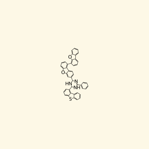 c1ccc(C2=NC(c3ccc4c(c3)oc3cccc(-c5cccc6c5oc5ccccc56)c34)NC(c3cccc4sc5ccccc5c34)N2)cc1